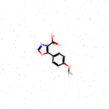 COc1ccc(-c2ocnc2C(=O)O)cc1